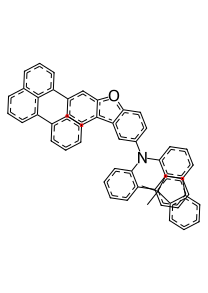 CC1(C)c2ccccc2-c2cccc(N(c3ccc4oc5cc(-c6cccc7cccc(-c8ccccc8)c67)ccc5c4c3)c3ccccc3-c3ccccc3)c21